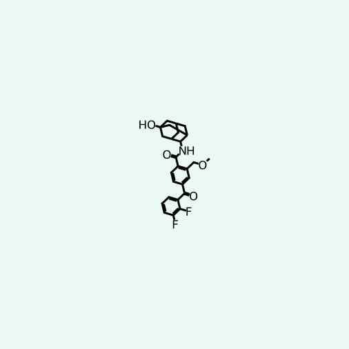 COCc1cc(C(=O)c2cccc(F)c2F)ccc1C(=O)NC1C2CC3CC1CC(O)(C3)C2